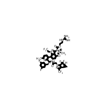 Cc1ccc(-c2ccc(Cl)c3c(N(C(=O)OCCNC(=N)N)S(C)(=O)=O)nn(CC(F)(F)F)c23)c([C@H](Cc2cc(F)cc(F)c2)NC(=O)Cn2nc(C(F)(F)F)c3c2C(F)(F)[C@@H]2CC32)n1